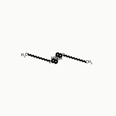 CCCCCCCCCCCCCCCCCCOc1ccc2c([Si](O)(O)c3cccc4cc(OCCCCCCCCCCCCCCCCCC)ccc34)cccc2c1